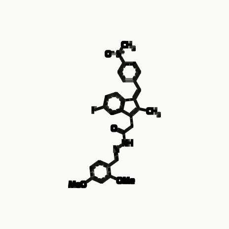 COc1ccc(C=NNC(=O)CC2=C(C)/C(=C/c3ccc([S+](C)[O-])cc3)c3ccc(F)cc32)c(OC)c1